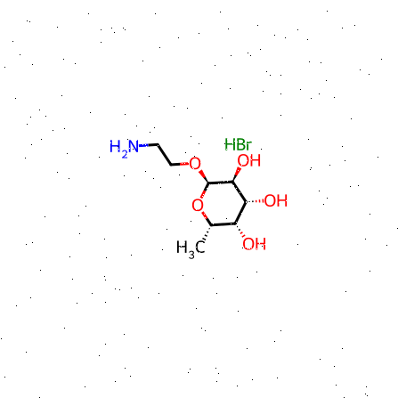 Br.C[C@@H]1O[C@@H](OCCN)[C@@H](O)[C@H](O)[C@@H]1O